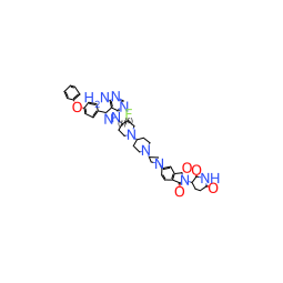 Nc1ncnc2c1c(-c1ccc(Oc3ccccc3)cc1)nn2[C@H]1CCN(C2CCN(C3CN(c4ccc5c(c4)C(=O)N(C4CCC(=O)NC4=O)C5=O)C3)CC2)C[C@@H]1F